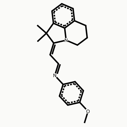 COc1ccc(/N=C/C=C2\N3CCCc4cccc(c43)C2(C)C)cc1